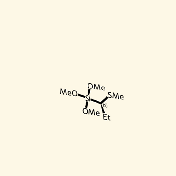 CC[C@H](SC)[Si](OC)(OC)OC